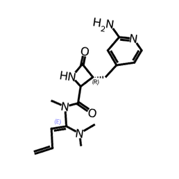 C=C/C=C(\N(C)C)N(C)C(=O)C1NC(=O)[C@@H]1Cc1ccnc(N)c1